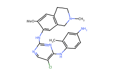 COc1cc2c(cc1Nc1ncc(Cl)c(Nc3ccc(N)cc3C)n1)CN(C)CC2